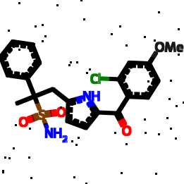 COc1ccc(C(=O)c2ccc(CC(C)(c3ccccc3)S(N)(=O)=O)[nH]2)c(Cl)c1